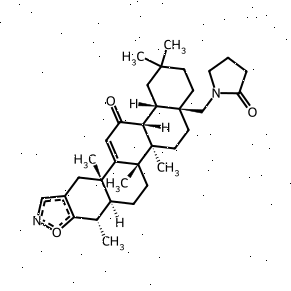 C[C@@H]1c2oncc2C[C@]2(C)C3=CC(=O)[C@@H]4[C@@H]5CC(C)(C)CC[C@]5(CN5CCCC5=O)CC[C@@]4(C)[C@]3(C)CC[C@@H]12